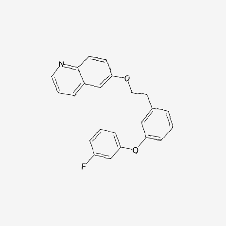 Fc1cccc(Oc2cccc(CCOc3ccc4ncccc4c3)c2)c1